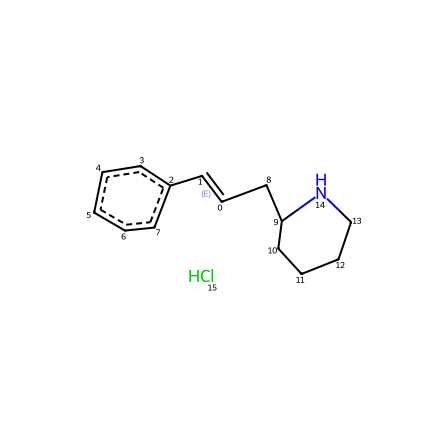 C(=C\c1ccccc1)/CC1CCCCN1.Cl